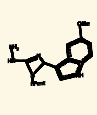 CCCCCN1C(NN)=NC1c1c[nH]c2ccc(OC)cc12